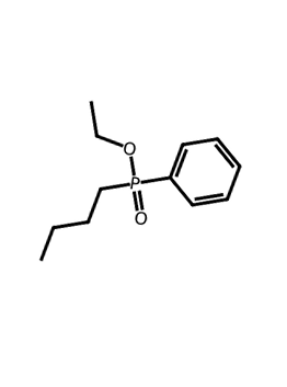 CCCCP(=O)(OCC)c1ccccc1